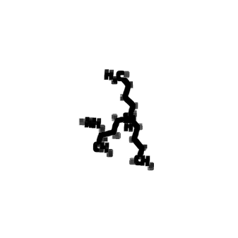 CCC[CH2][SnH]([CH2]CCC)[CH2]CCC.N